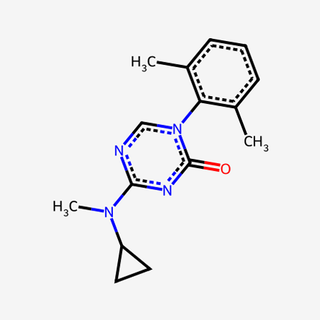 Cc1cccc(C)c1-n1cnc(N(C)C2CC2)nc1=O